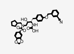 N#Cc1cccc(COc2ccc(C[C@H](NC(=O)O)[C@@H](O)CN(CC3CCCC3)S(=O)(=O)c3ccc4c(c3)OCO4)cc2)c1